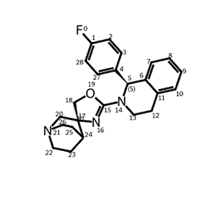 Fc1ccc([C@H]2c3ccccc3CCN2C2=N[C@@]3(CO2)CN2CCC3CC2)cc1